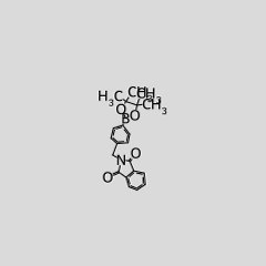 CC1(C)OB(c2ccc(CN3C(=O)c4ccccc4C3=O)cc2)OC1(C)C